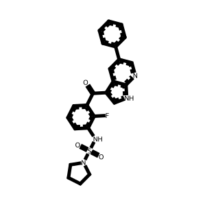 O=C(c1cccc(NS(=O)(=O)N2CCCC2)c1F)c1c[nH]c2ncc(-c3ccccc3)cc12